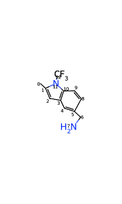 Cc1cc2cc(CN)ccc2n1C(F)(F)F